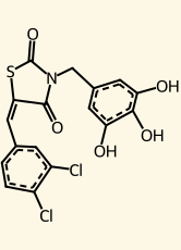 O=C1SC(=Cc2ccc(Cl)c(Cl)c2)C(=O)N1Cc1cc(O)c(O)c(O)c1